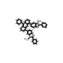 Cn1c(-c2ccccc2)nc2ccc(-c3cccc4c(-c5ccccc5)c5cccc(-c6ccc7nc(-c8ccccc8)n(C)c7c6)c5cc34)cc21